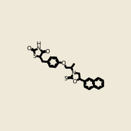 CC(COc1ccc(CC2SC(=O)NC2=O)cc1)N1CC(c2ccc3ccccc3c2)OC1=S